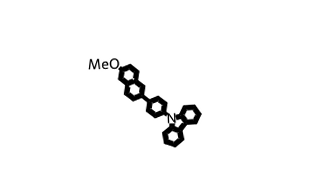 COc1ccc2cc(-c3ccc(-n4c5ccccc5c5ccccc54)cc3)ccc2c1